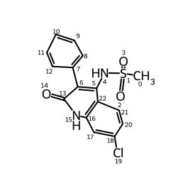 CS(=O)(=O)Nc1c(-c2ccccc2)c(=O)[nH]c2cc(Cl)ccc12